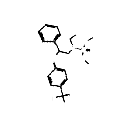 CCN(CC(Oc1ccc(C(F)(F)F)cc1)c1ccccc1)P(=O)(OC)OC